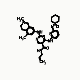 C=CCNC(=O)c1cnc(Nc2cc(C)c3c(c2)CN(C)CC3)nc1Nc1cccc(N=S2(=O)CCCCC2)n1